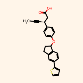 CC#C[C@@H](CC(=O)O)c1ccc(OC2CCc3cc(-c4cccs4)ccc32)cc1